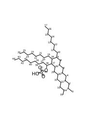 CCCCCCCCCC(CCCCCCCC)C(CCCCCCCC)C(CCCCCCCC)C(CCCCCCCC)OS(=O)(=O)O